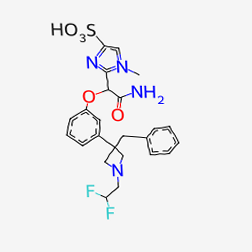 Cn1cc(S(=O)(=O)O)nc1C(Oc1cccc(C2(Cc3ccccc3)CN(CC(F)F)C2)c1)C(N)=O